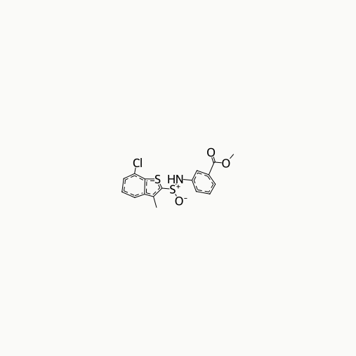 COC(=O)c1cccc(N[S+]([O-])c2sc3c(Cl)cccc3c2C)c1